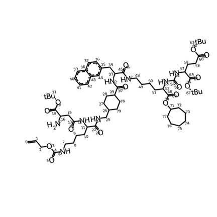 C=CCOC(=O)NCCCCC(NC(=O)CC(N)C(=O)OC(C)(C)C)C(=O)NCC1CCC(C(=O)NC(Cc2ccc3ccccc3c2)C(=O)NCCCCC(NC(=O)NC(CCC(=O)OC(C)(C)C)C(=O)OC(C)(C)C)C(=O)OC2CCCCCC2)CC1